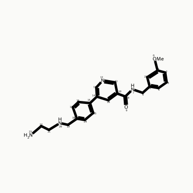 COc1cccc(CNC(=O)c2cncc(-c3ccc(CNCCN)cc3)c2)c1